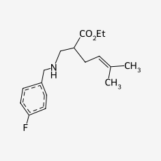 CCOC(=O)C(CC=C(C)C)CNCc1ccc(F)cc1